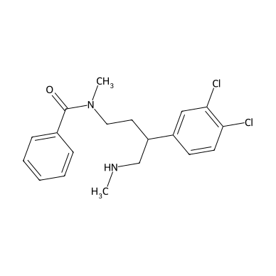 CNCC(CCN(C)C(=O)c1ccccc1)c1ccc(Cl)c(Cl)c1